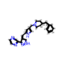 C(=C1CNN=C1c1cnccn1)c1cc(CN2CCC(Cc3ccccc3)CC2)c[nH]1